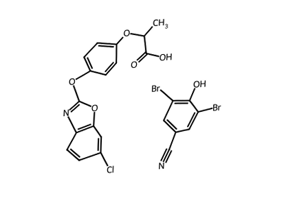 CC(Oc1ccc(Oc2nc3ccc(Cl)cc3o2)cc1)C(=O)O.N#Cc1cc(Br)c(O)c(Br)c1